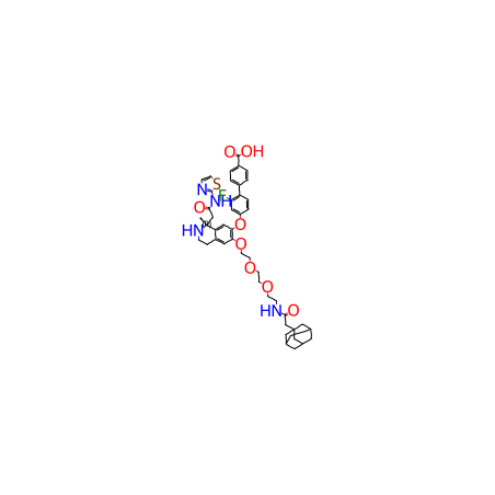 C[C@]1(CC(=O)Nc2nccs2)NCCc2cc(OCCOCCOCCNC(=O)CC34CC5CC(CC(C5)C3)C4)c(Oc3ccc(-c4ccc(C(=O)O)cc4)c(F)c3)cc21